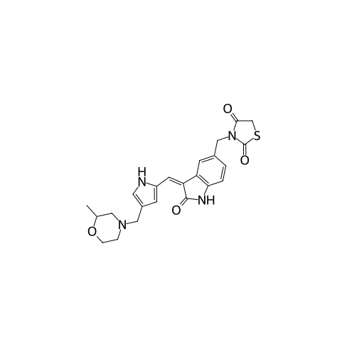 CC1CN(Cc2c[nH]c(C=C3C(=O)Nc4ccc(CN5C(=O)CSC5=O)cc43)c2)CCO1